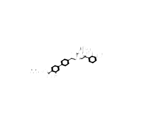 COC(=O)c1ccc(-c2ccc(CCN(C[C@H](O)c3cccc(Cl)c3)C(=O)OC(C)(C)C)cc2)cc1F